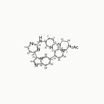 CC(=O)N1CCN(c2ccc(Nc3nccc(-c4cnc5ccc(-c6ccncc6)cn45)n3)cn2)CC1